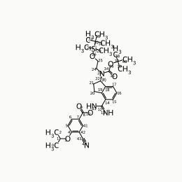 CC(C)Oc1ccc(C(=O)ONC(=N)c2cccc3c2CC[C@H]3N(CCO[Si](C)(C)C(C)(C)C)C(=O)OC(C)(C)C)cc1C#N